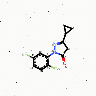 O=C1CC(C2CC2)=NN1c1cc(F)ccc1F